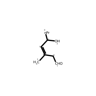 CCCC(O)C=C(C)CC=O